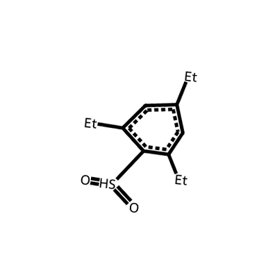 CCc1cc(CC)c([SH](=O)=O)c(CC)c1